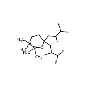 C[Si]1(C)CCC(CC(F)C(F)F)(CC(F)C(F)F)O[Si]1(C)C